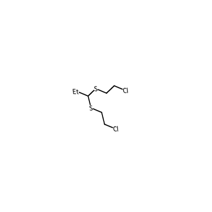 CCC(SCCCl)SCCCl